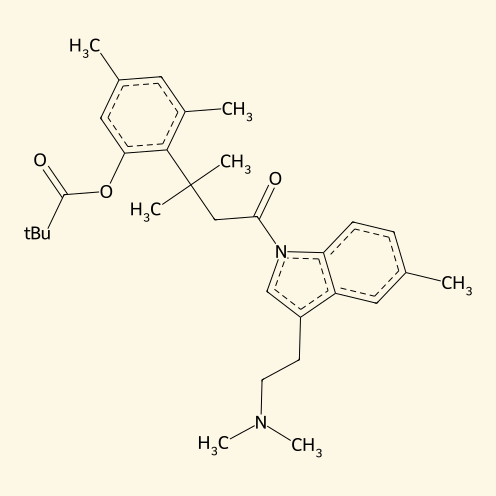 Cc1cc(C)c(C(C)(C)CC(=O)n2cc(CCN(C)C)c3cc(C)ccc32)c(OC(=O)C(C)(C)C)c1